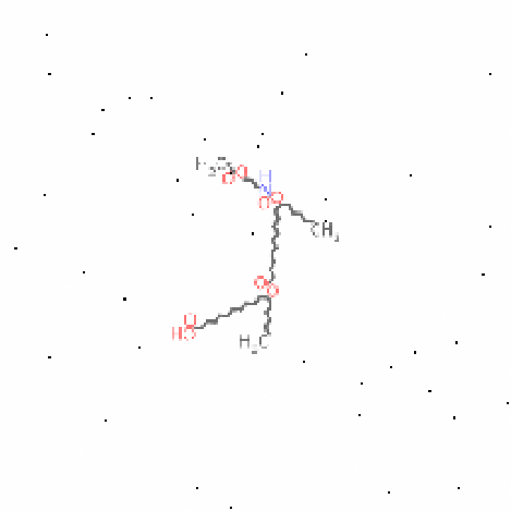 C=CC(=O)OCCCNC(=O)OC(CCCCCC)CCCCCCCCCCC(=O)OC(CCCCCC)CCCCCCCCCCC(=O)O